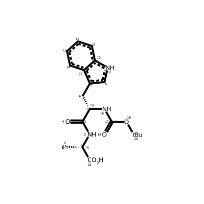 CC(C)[C@H](NC(=O)[C@H](Cc1c[nH]c2ccccc12)NC(=O)OC(C)(C)C)C(=O)O